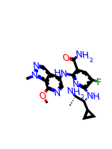 COc1ncc(Nc2nc(N[C@H](C3CC3)[C@H](C)N)c(F)cc2C(N)=O)c2cnn(C)c12